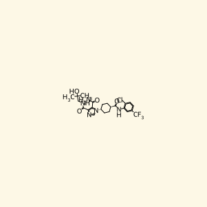 CC(C)(O)CNC(=O)c1ncn([C@H]2CC[C@H](C(=O)Nc3cc(C(F)(F)F)ccc3Cl)CC2)c1C(N)=O